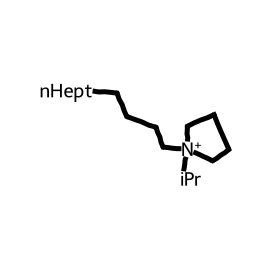 CCCCCCCCCCC[N+]1(C(C)C)CCCC1